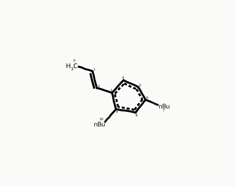 CC=Cc1ccc(CCCC)cc1CCCC